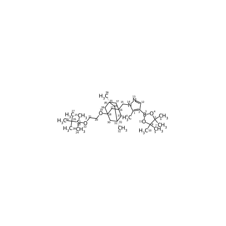 Cc1c(B2OC(C)(C)C(C)(C)O2)cnn1CC12CC3(OCCO[Si](C)(C)C(C)(C)C)C[C@](C)(C1)C[C@](C)(C2)C3